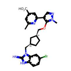 Cc1cc(C(=O)O)cc(-c2cnn(C)c2OC[C@H]2CC[C@@H](Cn3c(=N)[nH]c4ccc(Br)cc43)C2)n1